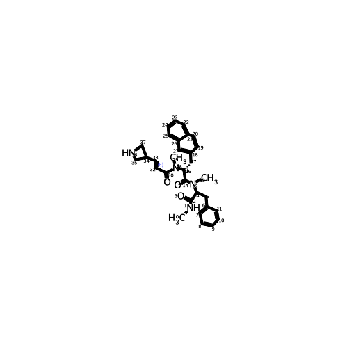 CNC(=O)C(Cc1ccccc1)N(C)C(=O)[C@@H](Cc1ccc2ccccc2c1)N(C)C(=O)/C=C/C1CNC1